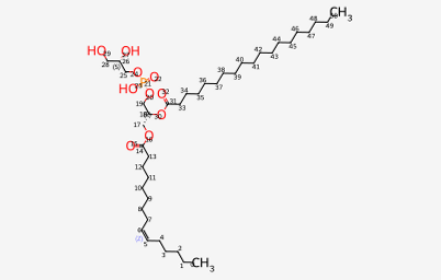 CCCCC/C=C\CCCCCCCC(=O)OC[C@H](COP(=O)(O)OC[C@@H](O)CO)OC(=O)CCCCCCCCCCCCCCCCCC